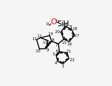 CO[SiH3].c1ccc(C(C2=C3CCC(C3)C2)c2ccccc2)cc1